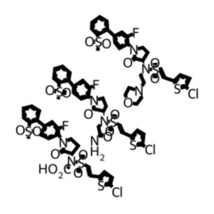 CS(=O)(=O)c1ccccc1-c1ccc(N2CC[C@H](N(C(=O)O)S(=O)(=O)/C=C/c3ccc(Cl)s3)C2=O)c(F)c1.CS(=O)(=O)c1ccccc1-c1ccc(N2CC[C@H](N(CC(N)=O)S(=O)(=O)/C=C/c3ccc(Cl)s3)C2=O)c(F)c1.CS(=O)(=O)c1ccccc1-c1ccc(N2CC[C@H](N(CCN3CCOCC3)S(=O)(=O)/C=C/c3ccc(Cl)s3)C2=O)c(F)c1